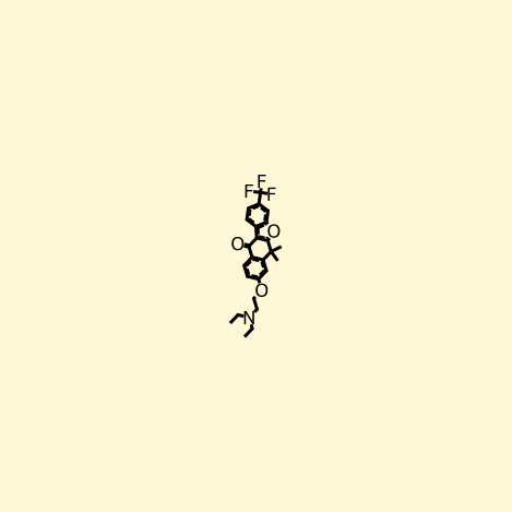 CCN(CC)CCOc1ccc2c(c1)C(C)(C)c1oc3cc(C(F)(F)F)ccc3c1C2=O